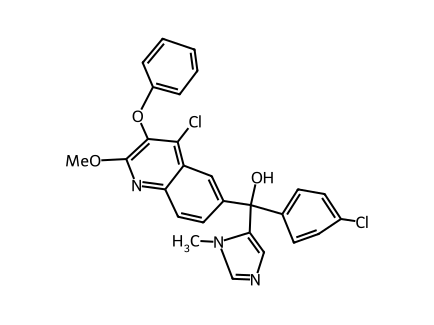 COc1nc2ccc(C(O)(c3ccc(Cl)cc3)c3cncn3C)cc2c(Cl)c1Oc1ccccc1